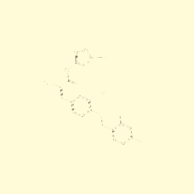 CCc1nnc(NC(=O)C(C#N)=Cc2ccc(OCc3ccc(C(F)(F)F)cc3C(F)(F)F)c(OC)c2)o1